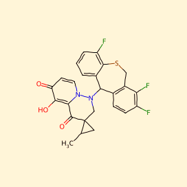 CC1CC12CN(C1c3ccc(F)c(F)c3CSc3c(F)cccc31)n1ccc(=O)c(O)c1C2=O